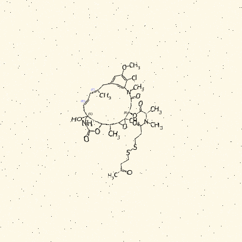 COc1cc2cc(c1Cl)N(C)C(=O)C[C@@H](OC(=O)C(C)N(C)C(=O)CCSSCCC(C)=O)C1(C)OC1C(C)C1C[C@@](O)(C/C=C/C=C(\C)C2)NC(=O)O1